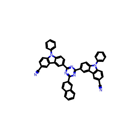 N#Cc1ccc2c(c1)c1cc(-c3nc(-c4ccc5ccccc5c4)nc(-c4ccc5c(c4)c4cc(C#N)ccc4n5-c4ccccc4)n3)ccc1n2-c1ccccc1